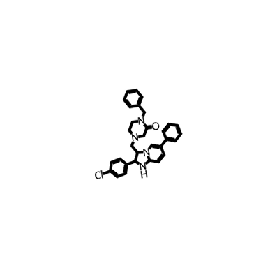 O=C1CN(CC2C(c3ccc(Cl)cc3)NC3C=CC(c4ccccc4)=CN32)CCN1Cc1ccccc1